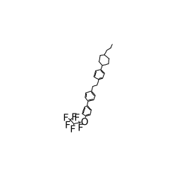 CCCC1CCC(c2ccc(CCc3ccc(-c4ccc(OC(F)(F)C(F)C(F)(F)F)cc4)cc3)cc2)CC1